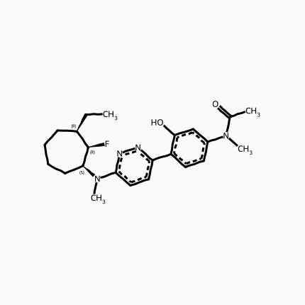 CC[C@@H]1CCCC[C@H](N(C)c2ccc(-c3ccc(N(C)C(C)=O)cc3O)nn2)[C@@H]1F